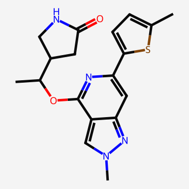 Cc1ccc(-c2cc3nn(C)cc3c(OC(C)C3CNC(=O)C3)n2)s1